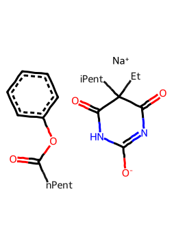 CCCC(C)C1(CC)C(=O)N=C([O-])NC1=O.CCCCCC(=O)Oc1ccccc1.[Na+]